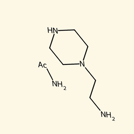 CC(N)=O.NCCN1CCNCC1